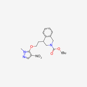 Cn1ncc([N+](=O)[O-])c1OCCC1CN(C(=O)OC(C)(C)C)Cc2ccccc21